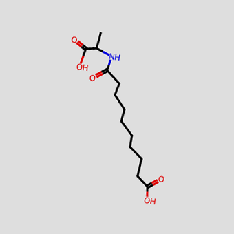 CC(NC(=O)CCCCCCCCC(=O)O)C(=O)O